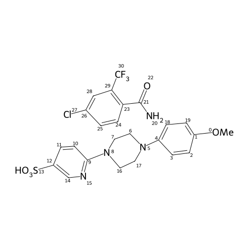 COc1ccc(N2CCN(c3ccc(S(=O)(=O)O)cn3)CC2)cc1.NC(=O)c1ccc(Cl)cc1C(F)(F)F